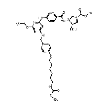 CC(C)(C)OC(=O)NCCCCCCOc1ccc(CNc2nc(Nc3ccc(C(=O)N[C@@H]4CN(C(=O)OC(C)(C)C)CC4C(=O)O)cc3)nc(OCC(F)(F)F)n2)cc1